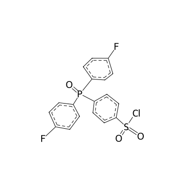 O=P(c1ccc(F)cc1)(c1ccc(F)cc1)c1ccc(S(=O)(=O)Cl)cc1